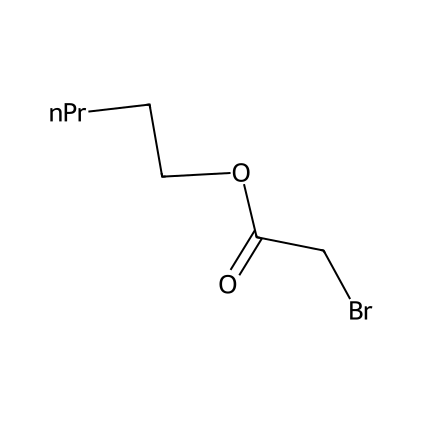 CCCCCOC(=O)CBr